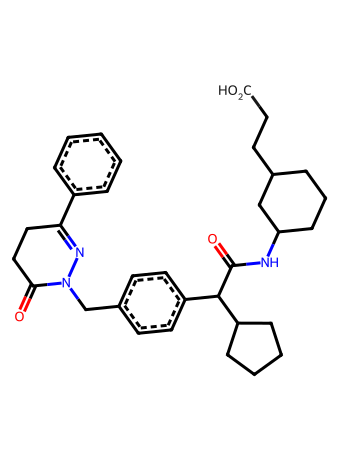 O=C(O)CCC1CCCC(NC(=O)C(c2ccc(CN3N=C(c4ccccc4)CCC3=O)cc2)C2CCCC2)C1